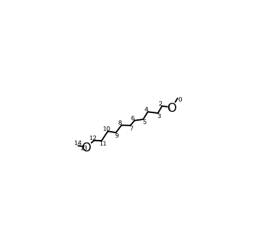 COCCCCCCCCCCCOC